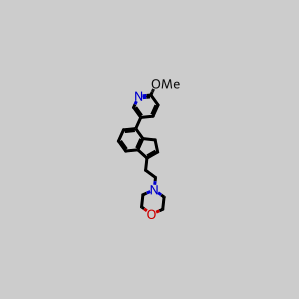 COc1ccc(-c2cccc3c2CC=C3CCN2CCOCC2)cn1